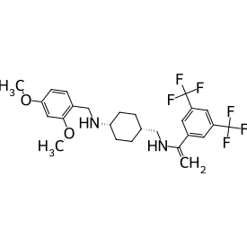 C=C(NC[C@H]1CC[C@@H](NCc2ccc(OC)cc2OC)CC1)c1cc(C(F)(F)F)cc(C(F)(F)F)c1